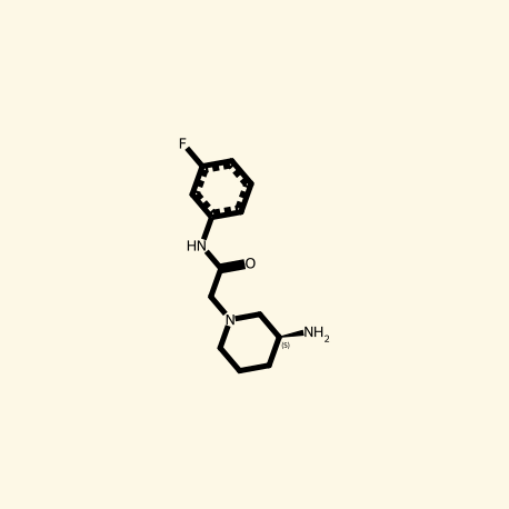 N[C@H]1CCCN(CC(=O)Nc2cccc(F)c2)C1